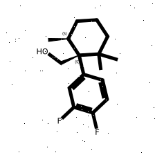 C[C@H]1CCCC(C)(C)[C@]1(CO)c1ccc(F)c(F)c1